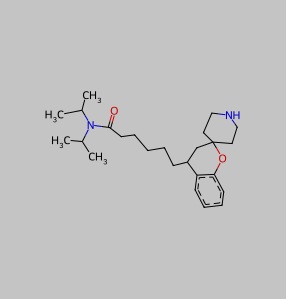 CC(C)N(C(=O)CCCCCC1CC2(CCNCC2)Oc2ccccc21)C(C)C